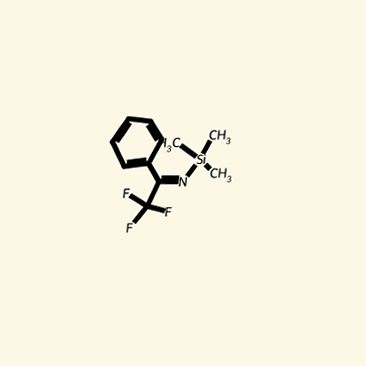 C[Si](C)(C)N=C(c1ccccc1)C(F)(F)F